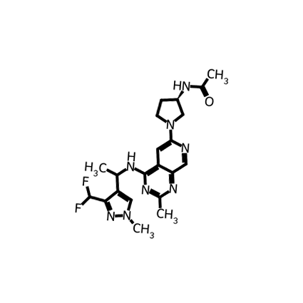 CC(=O)N[C@@H]1CCN(c2cc3c(NC(C)c4cn(C)nc4C(F)F)nc(C)nc3cn2)C1